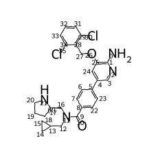 Nc1ncc(-c2ccc(C(=O)N(CC3CC3)C[C@H]3CCCN3)cc2)cc1OCc1c(Cl)cccc1Cl